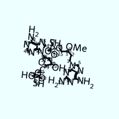 CO[C@@H](CCn1cnc2c(N)nc(N)nc21)COP(=O)(S)O[C@@H]1[C@H](O)[C@@H](COP(=O)(O)S)O[C@H]1n1cnc2c(N)ncnc21